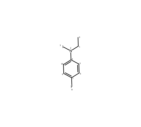 CCN(I)c1ccc(F)cc1